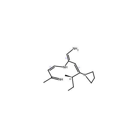 CC[C@@H](C)/C(=C\C(=C/N)N/C=C\C(C)=N)N1CCC1